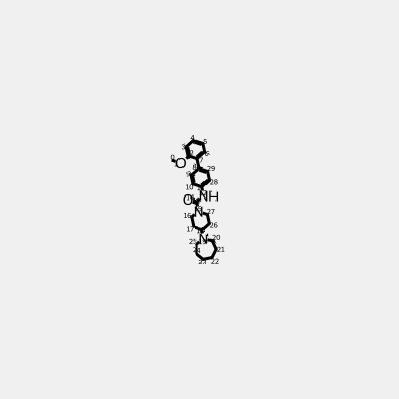 COc1ccccc1-c1ccc(NC(=O)N2CCC(N3CCCCCC3)CC2)cc1